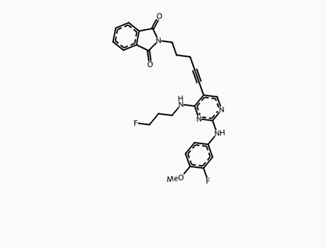 COc1ccc(Nc2ncc(C#CCCCN3C(=O)c4ccccc4C3=O)c(NCCCF)n2)cc1F